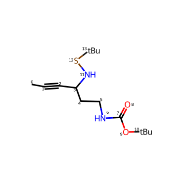 CC#CC(CCNC(=O)OC(C)(C)C)NSC(C)(C)C